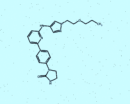 CCCOCCn1cc(Nc2cccc(-c3ccc(N4CCNC4=O)cc3)n2)cn1